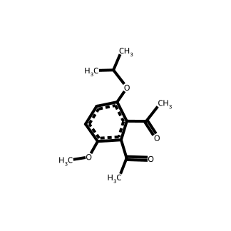 COc1ccc(OC(C)C)c(C(C)=O)c1C(C)=O